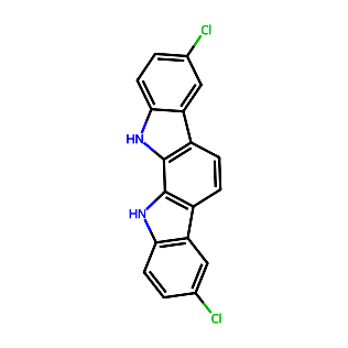 Clc1ccc2[nH]c3c(ccc4c5cc(Cl)ccc5[nH]c43)c2c1